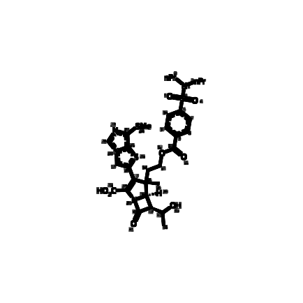 CCCN(CCC)S(=O)(=O)c1ccc(C(=O)OCC[C@@]2(C)C(c3cn4cnc(SC)c4s3)=C(C(=O)O)N3C(=O)[C@H](C(C)O)[C@@H]32)cc1